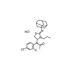 CCCN1C(=NC23CC4CC(CC(C4)C2)C3)SCC1N(C(C)=O)c1ccc(Cl)cc1F.Cl